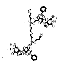 C/N=C/CCOP(OCCSCCOP(OCCC#N)OC[C@H]1O[C@@H](n2cnc3c(=O)[nH]c(N)nc32)[C@@H]2OB(c3ccccc3)O[C@@H]21)O[C@H](C)[C@H]1O[C@@H](n2cnc3c(=O)[nH]c(N)nc32)[C@@H]2OB(c3ccccc3)O[C@@H]21